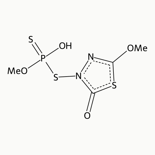 COc1nn(SP(O)(=S)OC)c(=O)s1